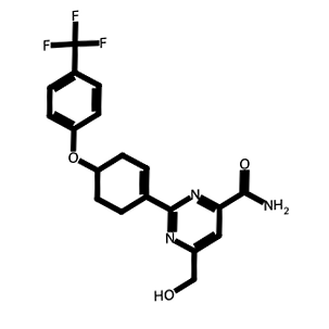 NC(=O)c1cc(CO)nc(C2=CCC(Oc3ccc(C(F)(F)F)cc3)CC2)n1